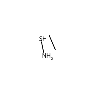 CC.NS